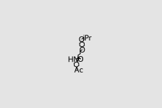 CC(=O)[C@H]1CC[C@@H](NC(=O)CCCO[C@H]2CC[C@@H](OC(C)C)CC2)CC1